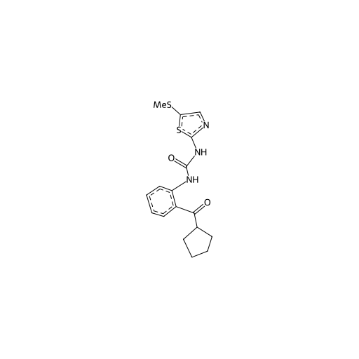 CSc1cnc(NC(=O)Nc2ccccc2C(=O)C2CCCC2)s1